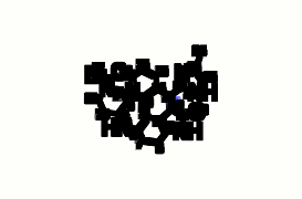 CCN1CCC(Nc2ccc3c(c2)/C(=C(\c2ccc(C(F)(F)F)nc2)c2nc(C)c[nH]2)C(=O)N3)CC1